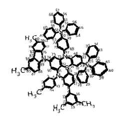 Cc1ccc(N2c3cc(-c4cc(C)cc(C)c4)ccc3B3c4cc([Si](c5ccccc5)(c5ccccc5)c5ccccc5)ccc4N(c4ccc([Si](c5ccccc5)(c5ccccc5)c5ccccc5)cc4)c4cc(-n5c6ccc(C)cc6c6cc(C)ccc65)cc2c43)cc1